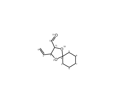 C=CC1OC2(CCCCC2)OC1C=O